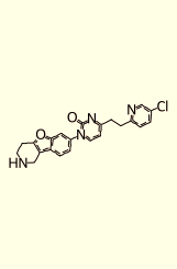 O=c1nc(CCc2ccc(Cl)cn2)ccn1-c1ccc2c3c(oc2c1)CCNC3